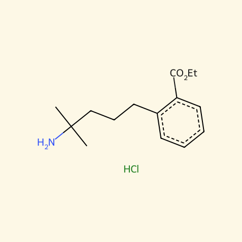 CCOC(=O)c1ccccc1CCCC(C)(C)N.Cl